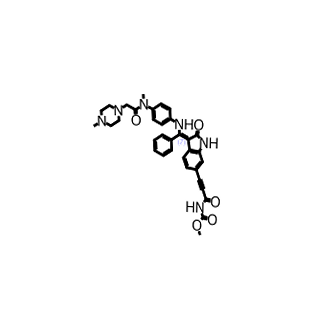 COC(=O)NC(=O)C#Cc1ccc2c(c1)NC(=O)/C2=C(\Nc1ccc(N(C)C(=O)CN2CCN(C)CC2)cc1)c1ccccc1